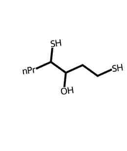 CCCC(S)C(O)CCS